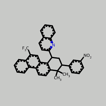 CC1(C)c2ccc3c(cc(C(F)(F)F)c4ccccc43)c2C(c2ccc3ccccc3n2)CC1c1cccc([N+](=O)[O-])c1